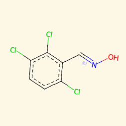 O/N=C/c1c(Cl)ccc(Cl)c1Cl